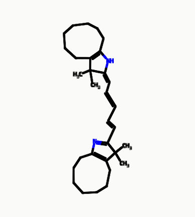 CC1(C)C(/C=C/C=C/C=C2/NC3=C(CCCCCCC3)C2(C)C)=NC2=C1CCCCCCC2